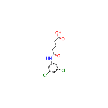 O=C(O)CCCC(=O)Nc1cc(Cl)cc(Cl)c1